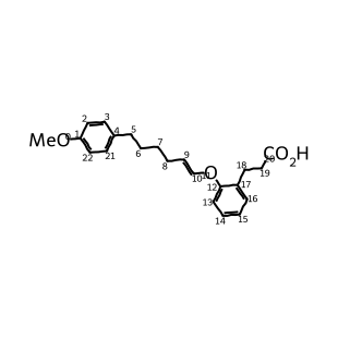 COc1ccc(CCCCC=COc2ccccc2CCC(=O)O)cc1